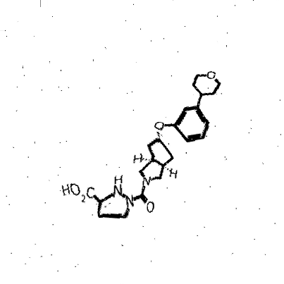 O=C(O)C1C=CN(C(=O)N2C[C@H]3C[C@H](Oc4cccc(C5CCOCC5)c4)C[C@H]3C2)N1